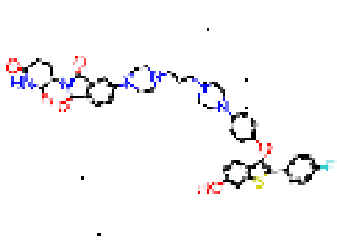 O=C1CCC(N2C(=O)c3ccc(N4CCN(CCCN5CCN(c6ccc(Oc7c(-c8ccc(F)cc8)sc8cc(O)ccc78)cc6)CC5)CC4)cc3C2=O)C(=O)N1